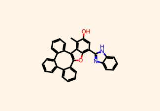 Cc1c(O)cc(-c2nc3ccccc3[nH]2)c2oc3c(c12)-c1ccccc1-c1ccccc1-c1ccccc1-3